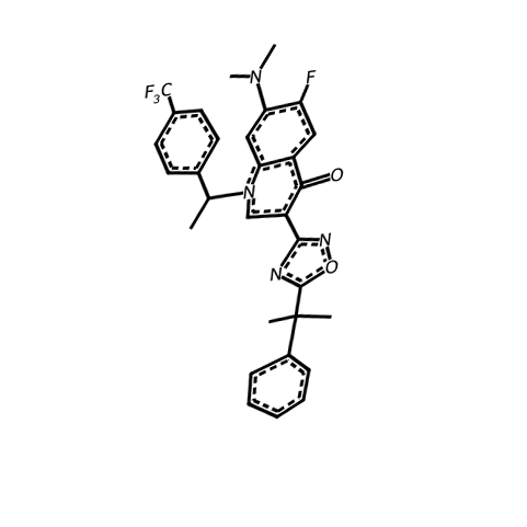 CC(c1ccc(C(F)(F)F)cc1)n1cc(-c2noc(C(C)(C)c3ccccc3)n2)c(=O)c2cc(F)c(N(C)C)cc21